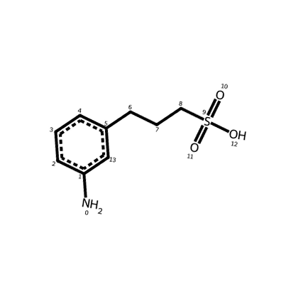 Nc1cccc(CCCS(=O)(=O)O)c1